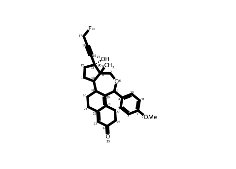 COc1ccc(C2OCC3(C)C(CC[C@@]3(O)C#CCF)C3CCC4=CC(=O)CCC4=C23)cc1